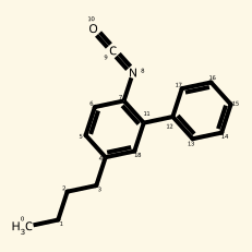 CCCCc1ccc(N=C=O)c(-c2ccccc2)c1